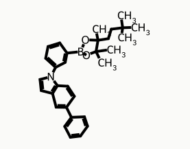 CC(C)(C)CCC1(C)OB(c2cccc(-n3ccc4cc(-c5ccccc5)ccc43)c2)OC1(C)C